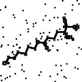 N[C@@H](CCCC(=O)OCCCCCCCl)C(=O)O